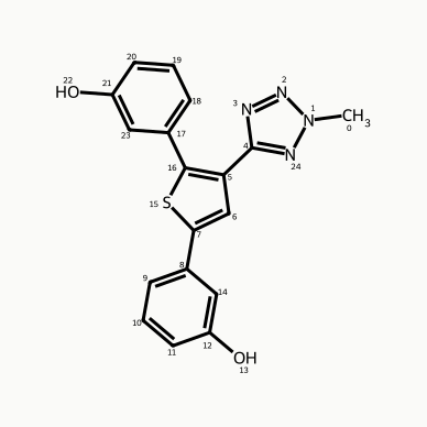 Cn1nnc(-c2cc(-c3cccc(O)c3)sc2-c2cccc(O)c2)n1